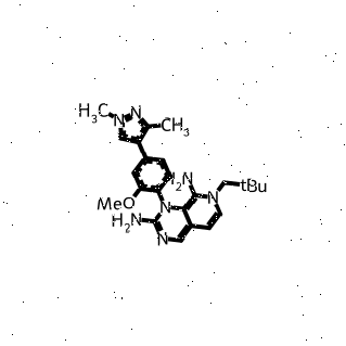 COc1cc(-c2cn(C)nc2C)ccc1N1C(N)=NC=C2C=CN(CC(C)(C)C)C(N)=C21